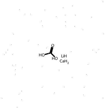 O=C(O)O.[CaH2].[LiH]